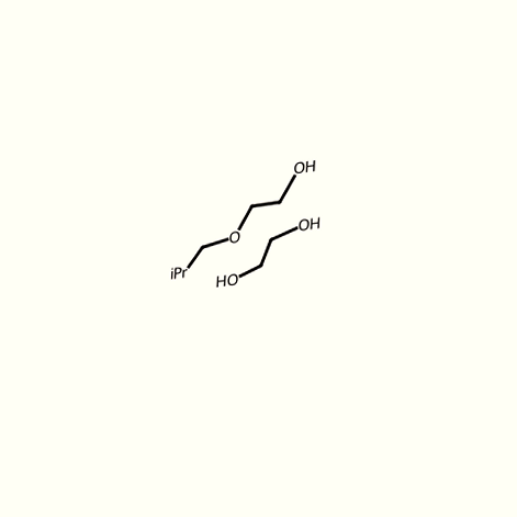 CC(C)COCCO.OCCO